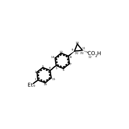 CCc1ccc(-c2ccc([C@H]3C[C@@H]3C(=O)O)cc2)cc1